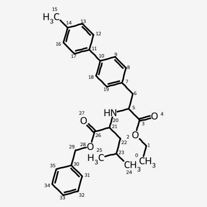 CCOC(=O)C(Cc1ccc(-c2ccc(C)cc2)cc1)NC(CC(C)C)C(=O)OCc1ccccc1